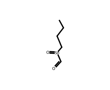 CCC[CH2][Sn](=[O])[CH]=O